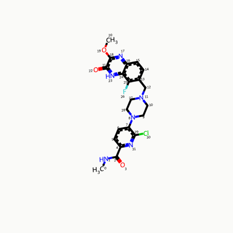 CNC(=O)c1ccc(N2CCN(Cc3ccc4nc(OC)c(=O)[nH]c4c3F)CC2)c(Cl)n1